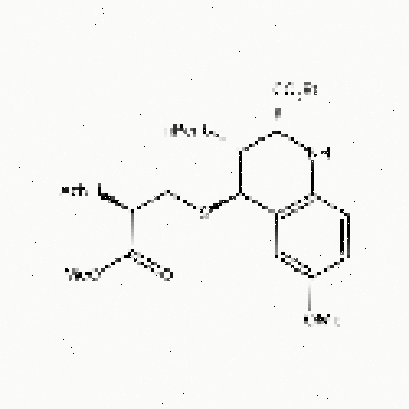 CCCCC[C@H]1[C@H](SC[C@H](NC(C)=O)C(=O)OC)c2cc(OC)ccc2N[C@H]1C(=O)OCC